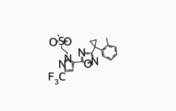 Cc1ccccc1C1(c2noc(-c3cc(C(F)(F)F)nn3CCS(C)(=O)=O)n2)CC1